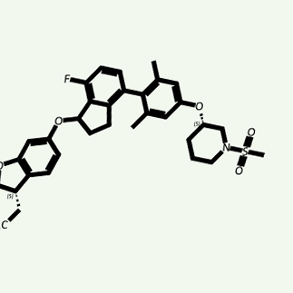 Cc1cc(O[C@H]2CCCN(S(C)(=O)=O)C2)cc(C)c1-c1ccc(F)c2c1CCC2Oc1ccc2c(c1)OC[C@H]2CC(=O)O